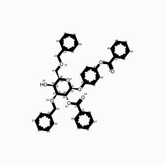 O=C(Oc1ccc(O[C@@H]2O[C@H](COCc3ccccc3)[C@H](O)[C@H](OCc3ccccc3)[C@H]2OC(=O)c2ccccc2)cc1)c1ccccc1